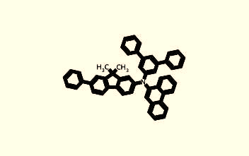 CC1(C)c2cc(-c3ccccc3)ccc2-c2ccc(N(c3cc(-c4ccccc4)cc(-c4ccccc4)c3)c3cc4ccccc4c4ccccc34)cc21